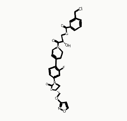 O=C(OC[C@H](O)C(=O)N1CC=C(c2ccc(N3C[C@H](COc4ccon4)OC3=O)cc2F)CC1)c1cccc(CCl)c1